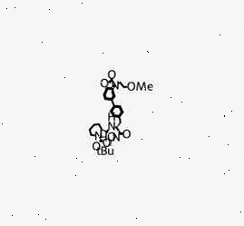 COCCn1c(=O)oc2ccc(-c3ccc(C[C@H](NC(=O)[C@@H]4CCCCN4C(=O)OC(C)(C)C)C(N)=O)cc3)cc21